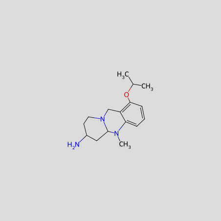 CC(C)Oc1cccc2c1CN1CCC(N)CC1N2C